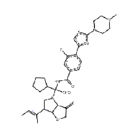 C/C=C(\C)C1CN(C(C=O)(NC(=O)c2ccc(-c3csc(N4CCN(C)CC4)n3)c(F)c2)C2CCCC2)C2C(=O)COC12